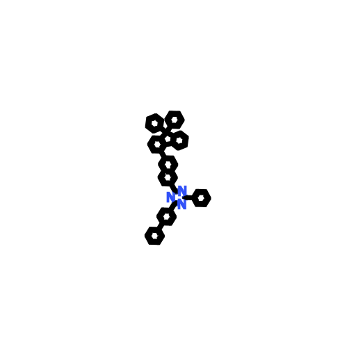 c1ccc(-c2ccc(-c3nc(-c4ccccc4)nc(-c4ccc5cc(-c6cccc7c6-c6ccccc6C7(c6ccccc6)c6ccccc6)ccc5c4)n3)cc2)cc1